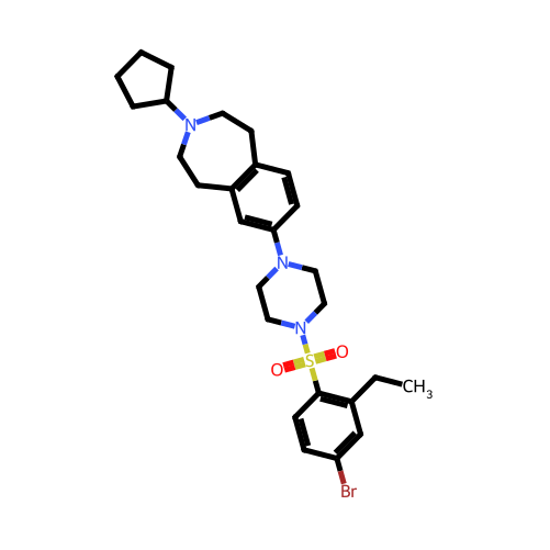 CCc1cc(Br)ccc1S(=O)(=O)N1CCN(c2ccc3c(c2)CCN(C2CCCC2)CC3)CC1